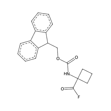 O=C(NC1(C(=O)F)CCC1)OCC1c2ccccc2-c2ccccc21